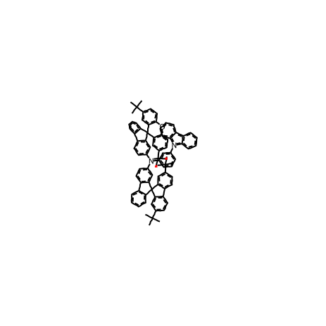 CC(C)(C)c1ccc2c(c1)C1(c3cc(C(C)(C)C)ccc3O2)c2ccccc2-c2ccc(N(c3cccc(-n4c5ccccc5c5ccccc54)c3)c3ccc4c(c3)C3(c5ccccc5-4)c4cc(C(C)(C)C)ccc4-c4ccc(C(C)(C)C)cc43)cc21